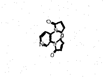 O=C1C=CC(=O)N1c1ccncc1N1C(=O)C=CC1=O